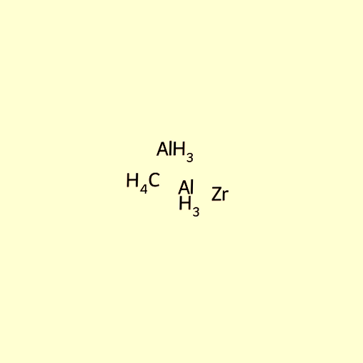 C.[AlH3].[AlH3].[Zr]